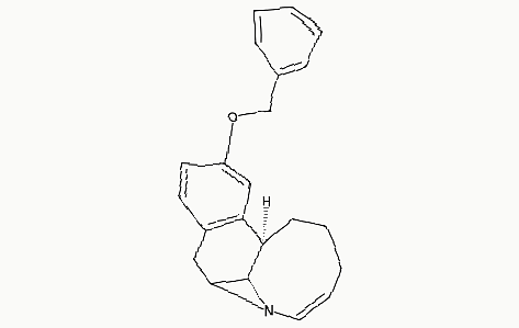 C1=CN2C3Cc4ccc(OCc5ccccc5)cc4[C@@H](CCC1)C32